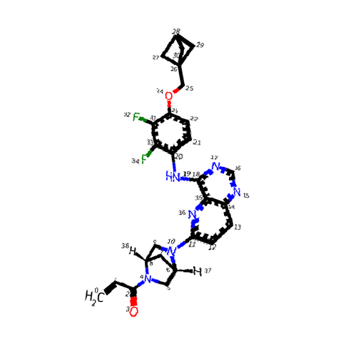 C=CC(=O)N1C[C@@H]2C[C@H]1CN2c1ccc2ncnc(Nc3ccc(OCC45CC(C4)C5)c(F)c3F)c2n1